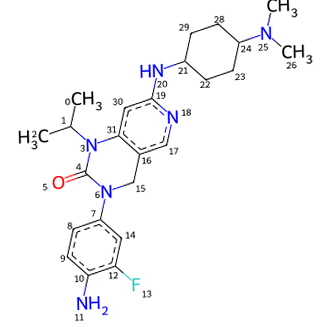 CC(C)N1C(=O)N(c2ccc(N)c(F)c2)Cc2cnc(NC3CCC(N(C)C)CC3)cc21